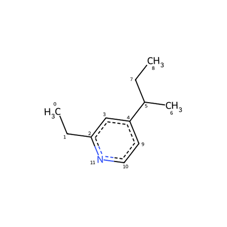 CCc1cc(C(C)CC)ccn1